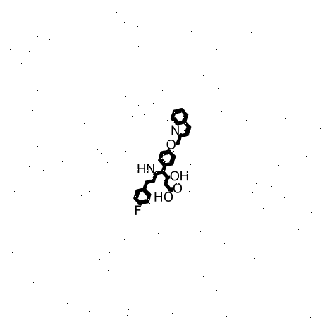 N=C(CCc1ccc(F)cc1)C(c1ccc(OCc2ccc3ccccc3n2)cc1)C(O)CC(=O)O